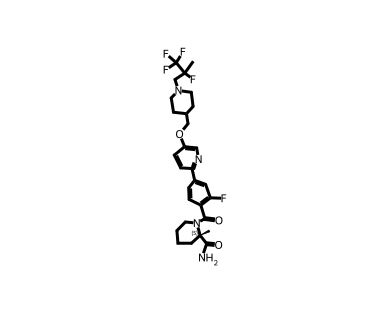 CC(F)(CN1CCC(COc2ccc(-c3ccc(C(=O)N4CCCC[C@@]4(C)C(N)=O)c(F)c3)nc2)CC1)C(F)(F)F